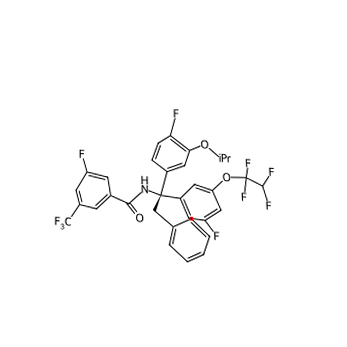 CC(C)Oc1cc([C@@](Cc2ccccc2)(NC(=O)c2cc(F)cc(C(F)(F)F)c2)c2cc(F)cc(OC(F)(F)C(F)F)c2)ccc1F